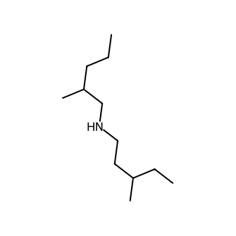 CCCC(C)CNCCC(C)CC